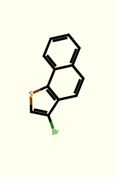 Brc1csc2c1ccc1ccccc12